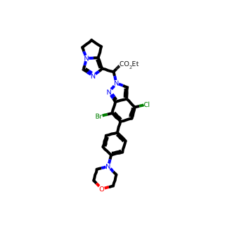 CCOC(=O)C(c1ncn2c1CCC2)n1cc2c(Cl)cc(-c3ccc(N4CCOCC4)cc3)c(Br)c2n1